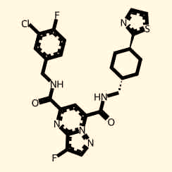 O=C(NCc1ccc(F)c(Cl)c1)c1cc(C(=O)NC[C@H]2CC[C@H](c3nccs3)CC2)n2ncc(F)c2n1